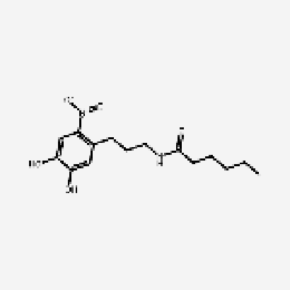 CCCCCC(=O)NCCCc1cc(O)c(O)cc1[N+](=O)[O-]